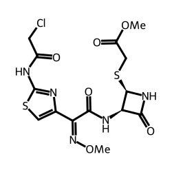 CO/N=C(\C(=O)N[C@@H]1C(=O)N[C@@H]1SCC(=O)OC)c1csc(NC(=O)CCl)n1